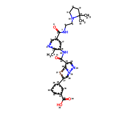 Cc1ncc(C(=O)NCCN2CCCC2(C)C)cc1NC(=O)c1cnn2cc(-c3cccc(C(=O)O)c3)sc12